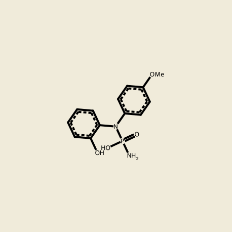 COc1ccc(N(c2ccccc2O)P(N)(=O)O)cc1